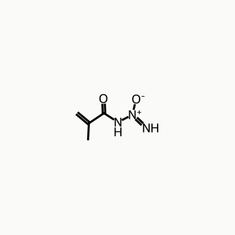 C=C(C)C(=O)N[N+](=N)[O-]